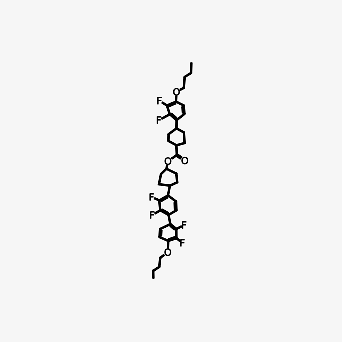 CCCCOc1ccc(-c2ccc(C3CCC(OC(=O)C4CCC(c5ccc(OCCCC)c(F)c5F)CC4)CC3)c(F)c2F)c(F)c1F